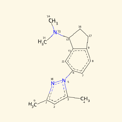 Cc1cc(C)n(-c2ccc3c(c2)C(N(C)C)CC3)n1